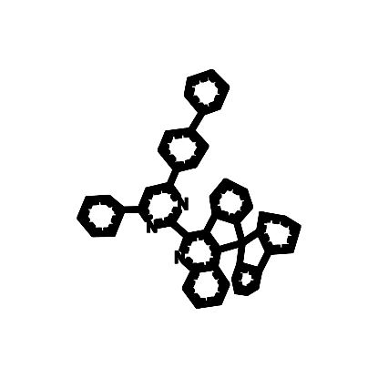 c1ccc(-c2ccc(-c3cc(-c4ccccc4)nc(-c4nc5ccccc5c5c4-c4ccccc4C54c5ccccc5-c5ccccc54)n3)cc2)cc1